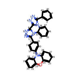 c1ccc(-c2nnc3c4nnc(-c5ccc(N6c7ccccc7Oc7ccccc76)cc5)n4c4ccccc4n23)cc1